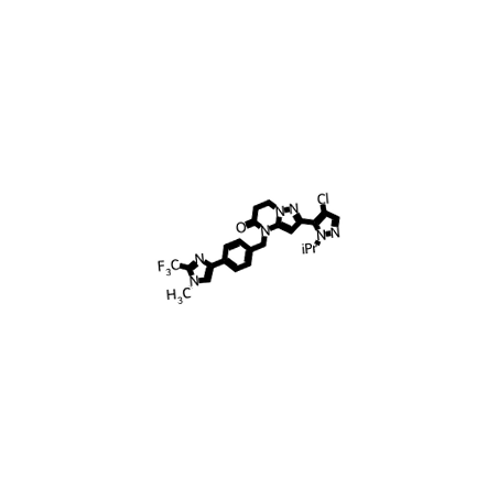 CC(C)n1ncc(Cl)c1-c1cc2n(n1)CCC(=O)N2Cc1ccc(-c2cn(C)c(C(F)(F)F)n2)cc1